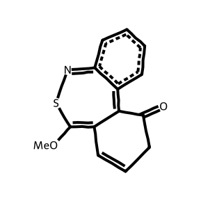 COC1=C2C=CCC(=O)C2=c2ccccc2=NS1